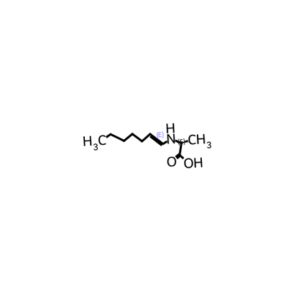 CCCCC/C=C/N[C@@H](C)C(=O)O